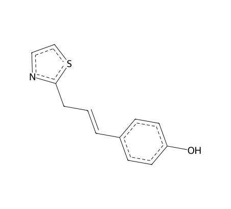 Oc1ccc(C=CCc2nccs2)cc1